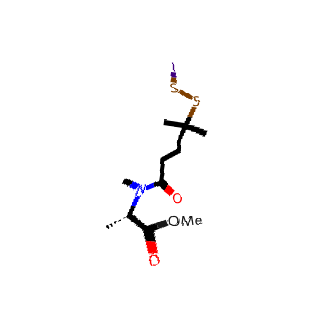 COC(=O)[C@H](C)N(C)C(=O)CCC(C)(C)SSI